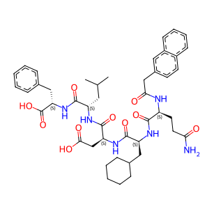 CC(C)C[C@H](NC(=O)[C@H](CC(=O)O)NC(=O)[C@H](CC1CCCCC1)NC(=O)[C@H](CCC(N)=O)NC(=O)Cc1ccc2ccccc2c1)C(=O)N[C@@H](Cc1ccccc1)C(=O)O